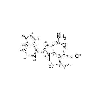 CCc1ccc(Cl)cc1-c1[nH]c(-c2ncnn3cccc23)cc1C(N)=O